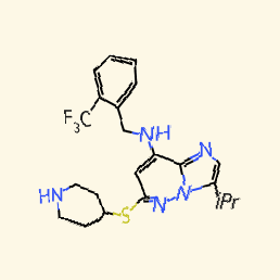 CC(C)c1cnc2c(NCc3ccccc3C(F)(F)F)cc(SC3CCNCC3)nn12